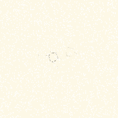 Cc1cc(C(F)(F)F)ncc1CC1CNCCO1